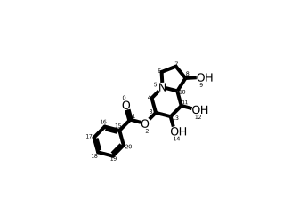 O=C(OC1CN2CCC(O)C2C(O)C1O)c1ccccc1